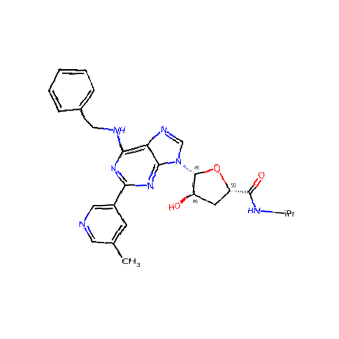 Cc1cncc(-c2nc(NCc3ccccc3)c3ncn([C@@H]4O[C@H](C(=O)NC(C)C)C[C@H]4O)c3n2)c1